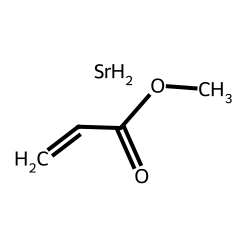 C=CC(=O)OC.[SrH2]